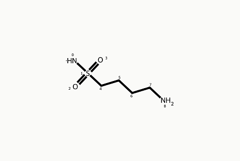 [NH]S(=O)(=O)CCCCN